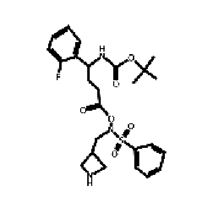 CC(C)(C)OC(=O)NC(CCC(=O)ON(CC1CNC1)S(=O)(=O)c1ccccc1)c1ccccc1F